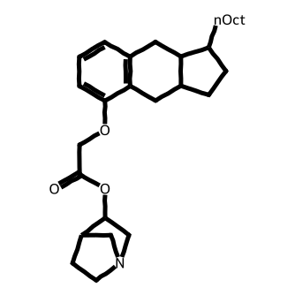 CCCCCCCCC1CCC2Cc3c(cccc3OCC(=O)OC3CN4CCC3C4)CC12